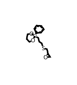 c1ccc([Si]2(CCCSCC3CO3)OCCCO2)cc1